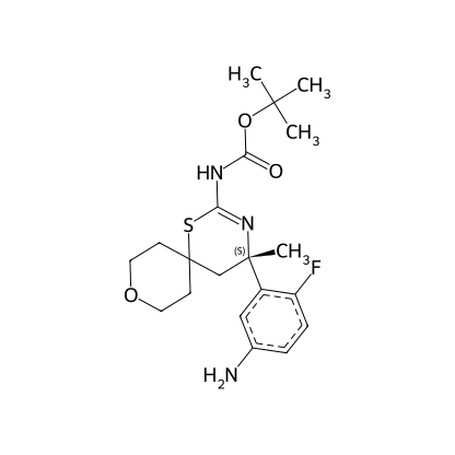 CC(C)(C)OC(=O)NC1=N[C@](C)(c2cc(N)ccc2F)CC2(CCOCC2)S1